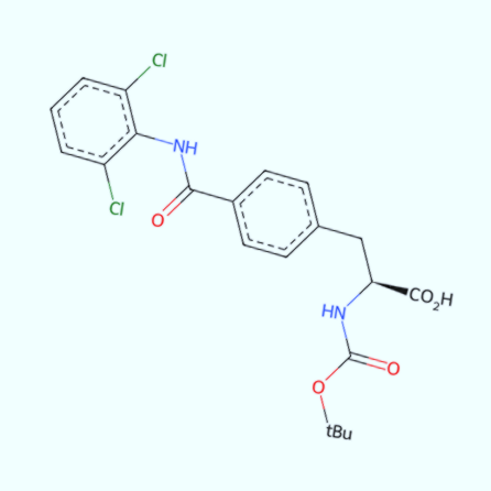 CC(C)(C)OC(=O)N[C@@H](Cc1ccc(C(=O)Nc2c(Cl)cccc2Cl)cc1)C(=O)O